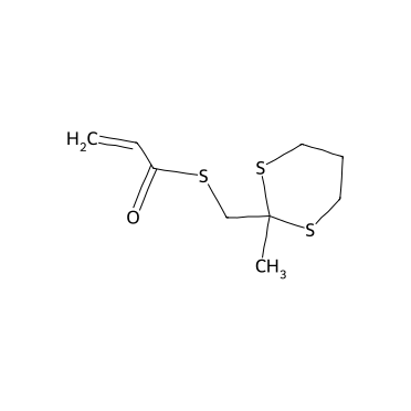 C=CC(=O)SCC1(C)SCCCS1